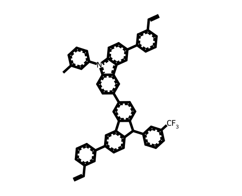 C=Cc1cccc(-c2ccc3c(c2)-c2cc(-c4ccc5c(c4)c4cc(-c6cccc(C=C)c6)ccc4n5-c4cccc(C)c4)ccc2C3c2cccc(C(F)(F)F)c2)c1